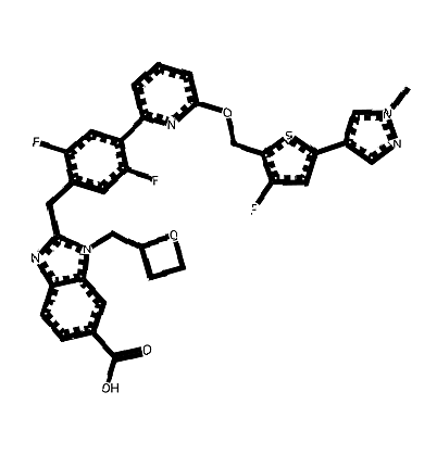 Cn1cc(-c2cc(F)c(COc3cccc(-c4cc(F)c(Cc5nc6ccc(C(=O)O)cc6n5CC5CCO5)cc4F)n3)s2)cn1